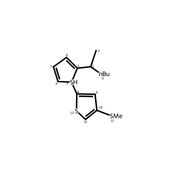 CCCCC(C)C1=CC=C[SH]1c1cc(SC)cs1